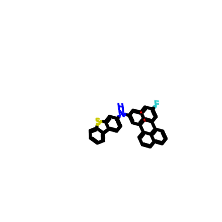 Fc1cccc(-c2cccc3cccc(-c4cccc(Nc5ccc6c(c5)sc5ccccc56)c4)c23)c1